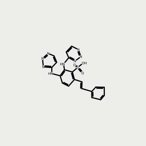 O=S(=O)(O)c1c(C=Cc2ccccc2)ccc(Nc2ccnnn2)c1Nc1ccnnn1